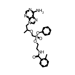 Cc1ccccc1C(=O)NCCOP(=O)(COC(C)Cn1cnc2c(N)ncnc21)Oc1ccccc1